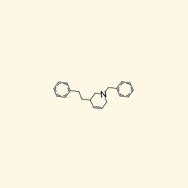 C1=CC(CCc2ccccc2)CN(Cc2ccccc2)C1